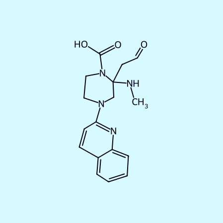 CNC1(CC=O)CN(c2ccc3ccccc3n2)CCN1C(=O)O